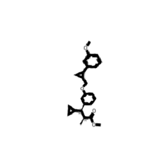 COC(=O)[C@@H](C)[C@H](c1cccc(OCC2CC2c2cccc(OC)c2)c1)C1CC1